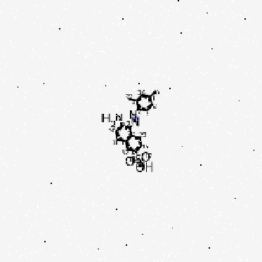 Cc1ccc(/N=N/c2c(N)ccc3cc(S(=O)(=O)O)ccc23)c(C)c1